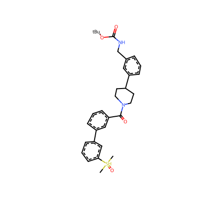 CC(C)(C)OC(=O)NCc1cccc(C2CCN(C(=O)c3cccc(-c4cccc([SH](C)(C)=O)c4)c3)CC2)c1